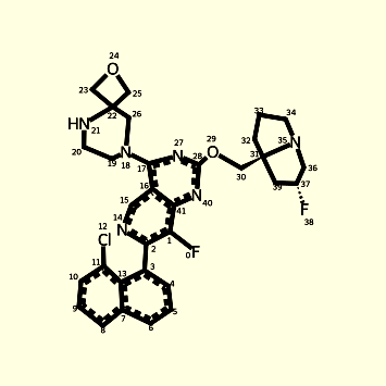 Fc1c(-c2cccc3cccc(Cl)c23)ncc2c(N3CCNC4(COC4)C3)nc(OC[C@@]34CCCN3C[C@H](F)C4)nc12